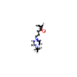 C=C(C)C(=O)CCCN1CCN(C(C)(C)C)CC1